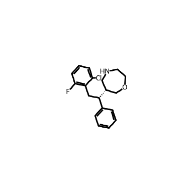 Fc1cccc(Cl)c1CC(c1ccccc1)[C@@H]1CNCCOC1